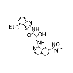 CCOc1cccc2nc(NC(=O)[C@H](O)CNc3nccc4ccc(-c5noc(C)n5)cc34)sc12